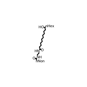 CCCCCCCCCC(=O)NCCNC(=O)CCCCCCCCCCC(O)CCCCCC